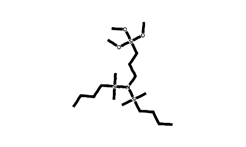 CCCC[Si](C)(C)N(CCC[Si](OC)(OC)OC)[Si](C)(C)CCCC